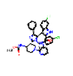 C[C@@H](c1ccc(Cl)cc1)n1cnc(-c2ccccc2)c1-c1c(C(=O)Nc2cccnc2N2CCC(NC(=O)OC(C)(C)C)CC2)[nH]c2cc(Cl)ccc12